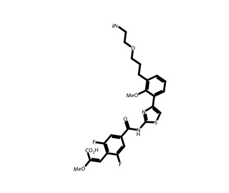 COC(=Cc1c(F)cc(C(=O)Nc2nc(-c3cccc(CCCOCCC(C)C)c3OC)cs2)cc1F)C(=O)O